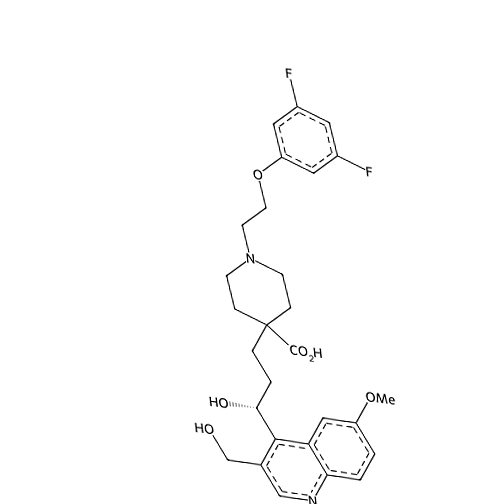 COc1ccc2ncc(CO)c([C@H](O)CCC3(C(=O)O)CCN(CCOc4cc(F)cc(F)c4)CC3)c2c1